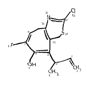 C=CC(C)c1c(O)c(F)cc2nc(Cl)sc12